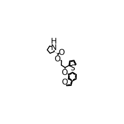 O=C(OCCC(Oc1cccc2ccoc12)c1cccs1)[C@@H]1CCCN1